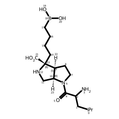 CC(C)CC(N)C(=O)N1CC[C@H]2[C@@H]1CN[C@@]2(CCCCB(O)O)C(=O)O